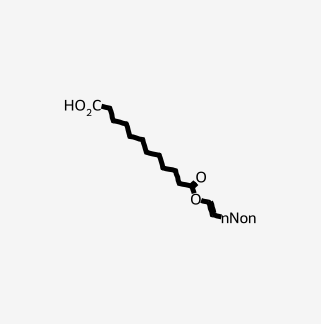 CCCCCCCCCC=COC(=O)CCCCCCCCCCC(=O)O